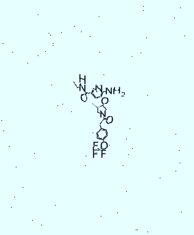 CCNC(=O)c1cnc(N)c(OC2CN(C(=O)Cc3ccc(OC(F)(F)F)cc3)CC2C)c1